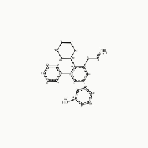 C=CCc1cccc(-c2ccccc2)c1C1CCCCC1.Oc1ccccc1